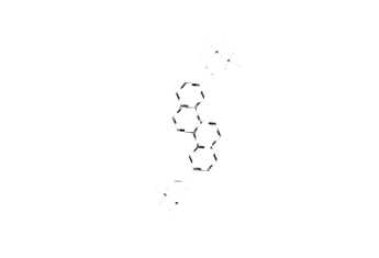 CC1(C)OB(c2ccc3ccc4c5cc(B6OC(C)(C)C(C)(C)O6)ccc5ccc4c3c2)OC1(C)C